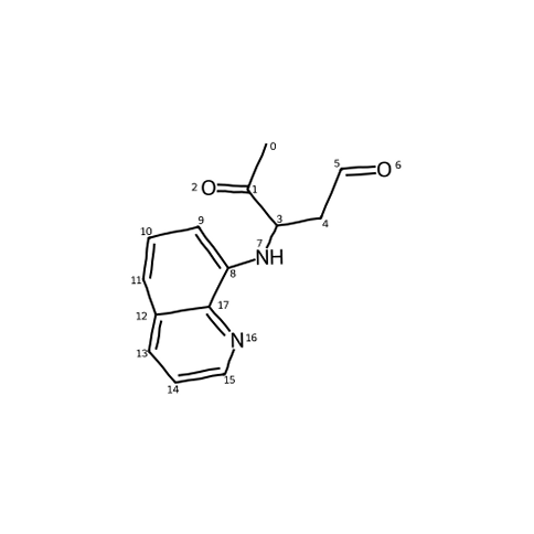 CC(=O)C(CC=O)Nc1cccc2cccnc12